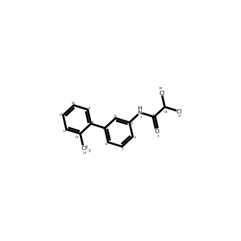 O=C(Nc1cccc(-c2ccccc2C(F)(F)F)c1)C(Cl)Cl